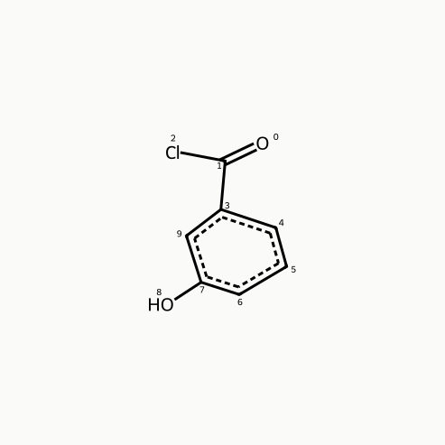 O=C(Cl)c1cccc(O)c1